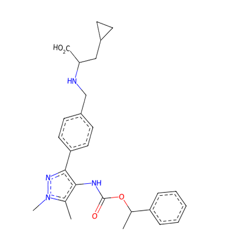 Cc1c(NC(=O)OC(C)c2ccccc2)c(-c2ccc(CNC(CC3CC3)C(=O)O)cc2)nn1C